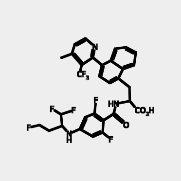 Cc1ccnc(-c2ccc(CC(NC(=O)c3c(F)cc(NC(CCF)C(F)F)cc3F)C(=O)O)c3ccccc23)c1C(F)(F)F